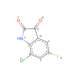 O=C1Nc2c(Cl)cc(F)cc2C1=O